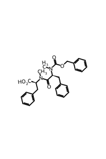 CN(C(=O)OCc1ccccc1)[C@@H](Cc1ccccc1)C(=O)N(C)[C@@H](Cc1ccccc1)C(=O)O